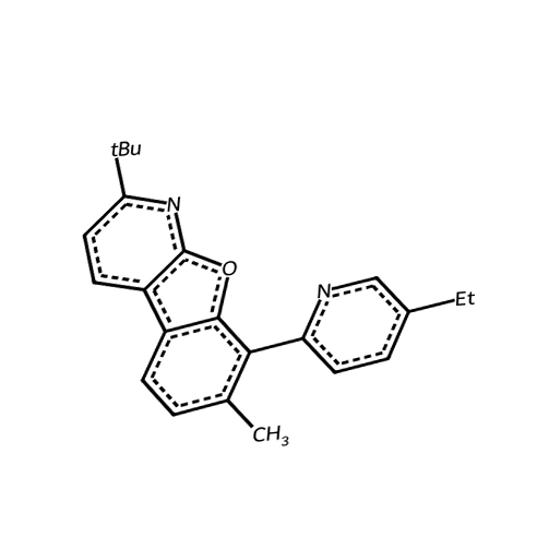 CCc1ccc(-c2c(C)ccc3c2oc2nc(C(C)(C)C)ccc23)nc1